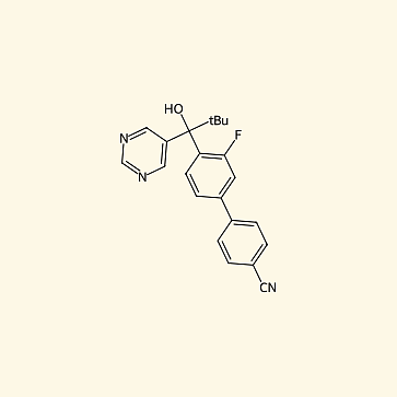 CC(C)(C)C(O)(c1cncnc1)c1ccc(-c2ccc(C#N)cc2)cc1F